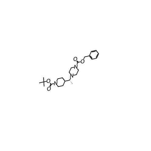 C[C@H](C1CCN(C(=O)OC(C)(C)C)CC1)N1CCN(C(=O)OCc2ccccc2)CC1